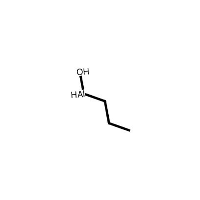 CC[CH2][AlH][OH]